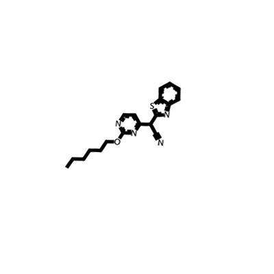 CCCCCCOc1nccc(C(C#N)c2nc3ccccc3s2)n1